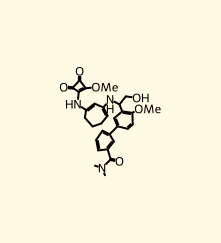 COc1ccc(-c2cccc(C(=O)N(C)C)c2)cc1C(CO)NC1=CCCCC(Nc2c(OC)c(=O)c2=O)=C1